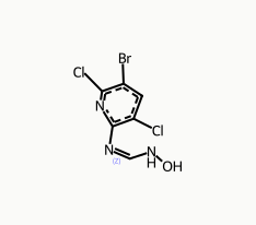 ON/C=N\c1nc(Cl)c(Br)cc1Cl